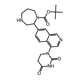 CC(C)(C)OC(=O)N1CCCNCC1c1ccc2c(N3CCC(=O)NC3=O)cncc2c1